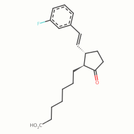 O=C(O)CCCCCC[C@@H]1C(=O)CC[C@H]1C=Cc1cccc(F)c1